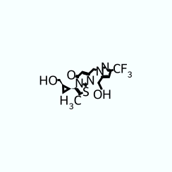 Cc1sc2nc(Cn3nc(C(F)(F)F)cc3CCO)cc(=O)n2c1[C@@H]1C[C@H]1CO